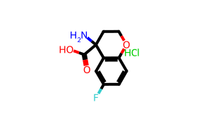 Cl.NC1(C(=O)O)CCOc2ccc(F)cc21